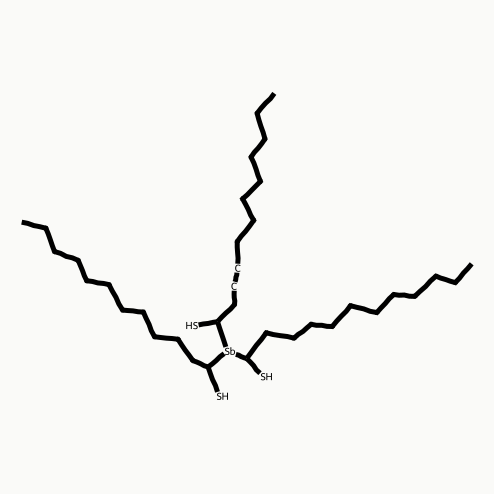 CCCCCCCCCCC[CH](S)[Sb]([CH](S)CCCCCCCCCCC)[CH](S)CCCCCCCCCCC